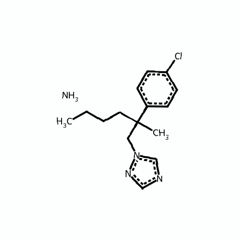 CCCCC(C)(Cn1cncn1)c1ccc(Cl)cc1.N